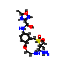 Cc1nc(C(=O)Nc2ccc3c(c2)CS(=O)(=O)C(C)(C)C(N)NCCO3)no1